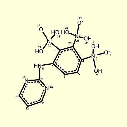 [O-][N+](O)(O)c1ccc(Nc2ncccn2)c([N+]([O-])(O)O)c1[N+]([O-])(O)O